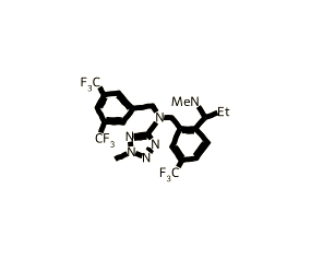 CCC(NC)c1ccc(C(F)(F)F)cc1CN(Cc1cc(C(F)(F)F)cc(C(F)(F)F)c1)c1nnn(C)n1